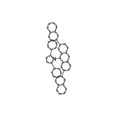 c1ccc(-c2ccc(-c3ccccc3)n2-c2c3cc(-c4ccc5ccccc5c4)ccc3cc3ccc(-c4ccc5ccccc5c4)cc23)cc1